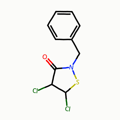 O=C1C(Cl)C(Cl)SN1Cc1ccccc1